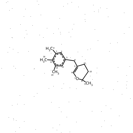 Cc1cc(CC2=COC(C)CC2)cc(C)c1C